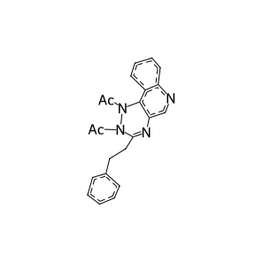 CC(=O)N1C(CCc2ccccc2)=Nc2cnc3ccccc3c2N1C(C)=O